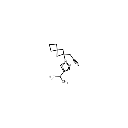 CC(C)c1cnn(C2(CC#N)CC3(CCC3)C2)c1